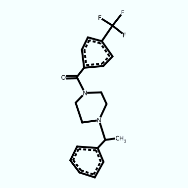 CC(c1ccccc1)N1CCN(C(=O)c2ccc(C(F)(F)F)cc2)CC1